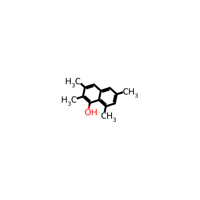 Cc1cc(C)c2c(O)c(C)c(C)cc2c1